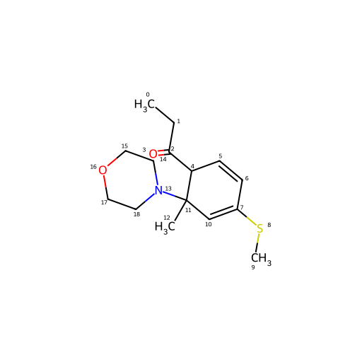 CCC(=O)C1C=CC(SC)=CC1(C)N1CCOCC1